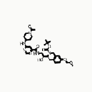 COCOc1ccc2c(c1)CN(C(=O)OC(C)(C)C)[C@H]([C@H](O)CNC(=O)c1cc(NC3CCN(C(C)=O)CC3)ncn1)C2